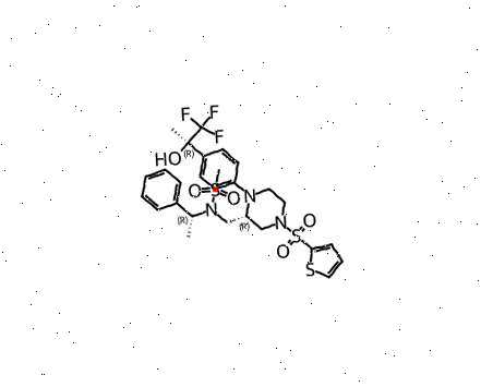 C[C@H](c1ccccc1)N(C[C@H]1CN(S(=O)(=O)c2cccs2)CCN1c1ccc([C@@](C)(O)C(F)(F)F)cc1)S(C)(=O)=O